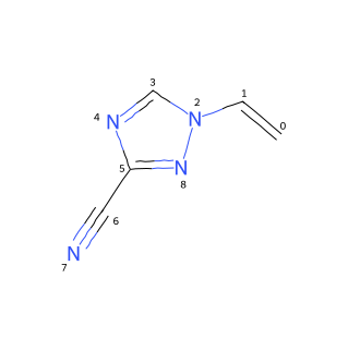 C=Cn1cnc(C#N)n1